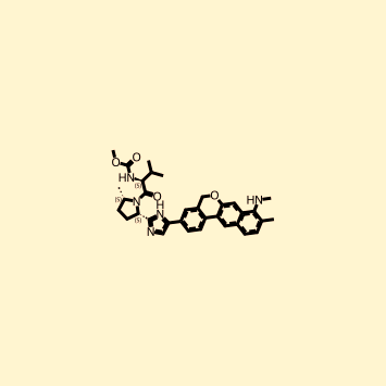 CNc1c(C)ccc2cc3c(cc12)OCc1cc(-c2cnc([C@@H]4CC[C@H](C)N4C(=O)[C@@H](NC(=O)OC)C(C)C)[nH]2)ccc1-3